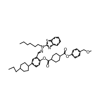 CCCCCCN(/N=C/c1cc(C2CCC(CCC)CC2)ccc1OC(=O)C1CCC(C(=O)Oc2ccc(COC)cc2)CC1)c1nc2ccccc2s1